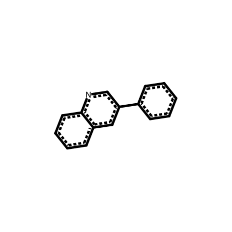 c1ccc(-c2cnc3ccccc3c2)cc1